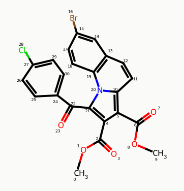 COC(=O)c1c(C(=O)OC)c2ccc3cc(Br)ccc3n2c1C(=O)c1ccc(Cl)cc1